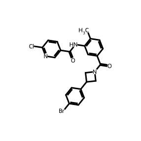 Cc1ccc(C(=O)N2CC(c3ccc(Br)cc3)C2)cc1NC(=O)c1ccc(Cl)nc1